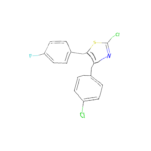 Fc1ccc(-c2sc(Cl)nc2-c2ccc(Cl)cc2)cc1